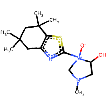 CN1CC(O)[N+]([O-])(c2nc3c(s2)C(C)(C)CC(C)(C)C3)C1